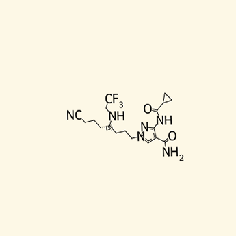 N#CCCC[C@@H](CCCn1cc(C(N)=O)c(NC(=O)C2CC2)n1)NCC(F)(F)F